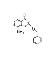 Nc1cccc2c(=O)oc(COCc3ccccc3)cc12